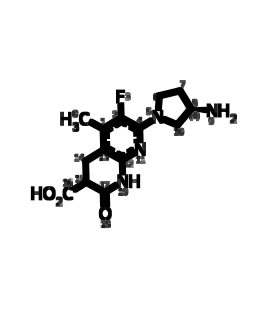 Cc1c(F)c(N2CC[C@@H](N)C2)nc2c1CC(C(=O)O)C(=O)N2